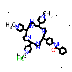 CN1C=CC(c2c3nc(c(C4=CCN(C)C=C4)c4ccc([nH]4)c(-c4ccc(NC(=O)c5ccccc5)cc4)c4nc(c(C5=CCN(C)C=C5)c5ccc2[nH]5)C=C4)C=C3)=CC1.Cl